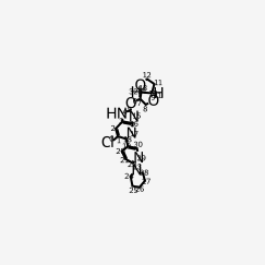 Clc1cc2[nH]c(OC3CO[C@@H]4CCO[C@H]34)nc2nc1-c1ccc(N2CCCCC2)nc1